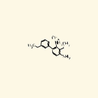 C.CCc1cccc(-c2ccc(N)c(CC)c2N)c1